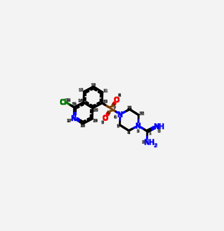 N=C(N)N1CCN(S(=O)(=O)c2cccc3c(Cl)nccc23)CC1